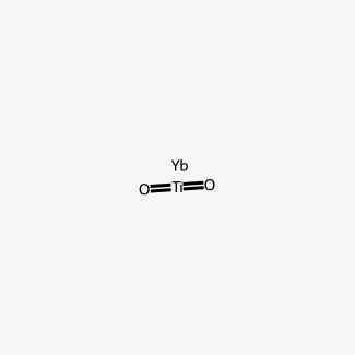 [O]=[Ti]=[O].[Yb]